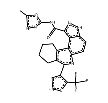 Cc1nnc(NC(=O)c2n[nH]c3ccc4nc(-c5c[nH]nc5C(F)(F)F)c5c(c4c23)CCCC5)o1